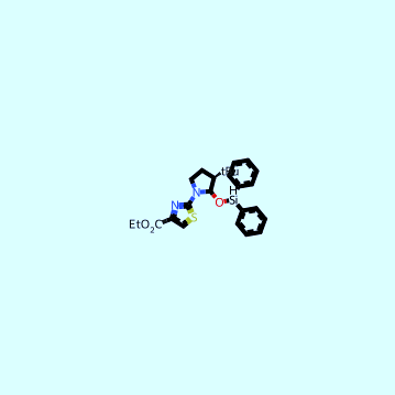 CCOC(=O)c1csc(N2CC[C@@H](C(C)(C)C)C2O[SiH](c2ccccc2)c2ccccc2)n1